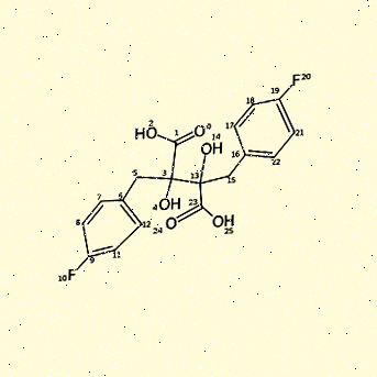 O=C(O)C(O)(Cc1ccc(F)cc1)C(O)(Cc1ccc(F)cc1)C(=O)O